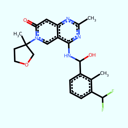 Cc1nc(NC(O)c2cccc(C(F)F)c2C)c2cn(C3(C)CCOC3)c(=O)cc2n1